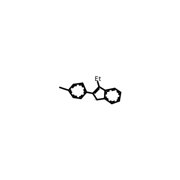 CCC1=C(c2ccc(C)cc2)[CH]c2ccccc21